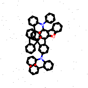 c1ccc(-c2ccccc2N(c2ccccc2)c2ccc3c(c2)C2(c4ccccc4-c4ccccc42)c2cc(N(c4ccccc4)c4ccccc4-c4ccccc4)c4c(oc5ccccc54)c2-3)cc1